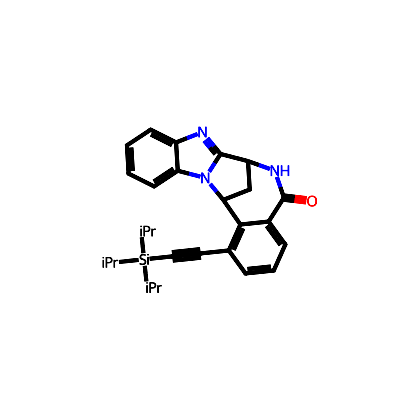 CC(C)[Si](C#Cc1cccc2c1C1CC(NC2=O)c2nc3ccccc3n21)(C(C)C)C(C)C